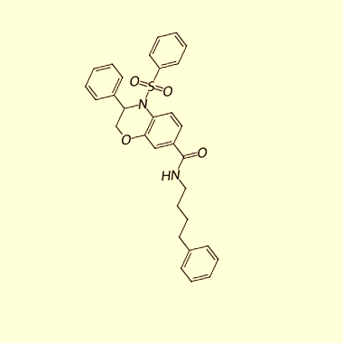 O=C(NCCCCc1ccccc1)c1ccc2c(c1)OCC(c1ccccc1)N2S(=O)(=O)c1ccccc1